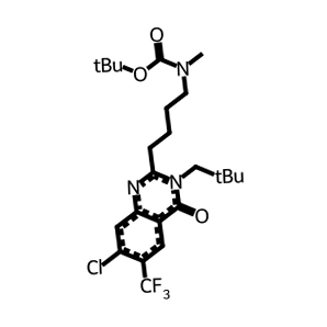 CN(CCCCc1nc2cc(Cl)c(C(F)(F)F)cc2c(=O)n1CC(C)(C)C)C(=O)OC(C)(C)C